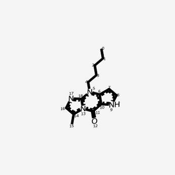 CCCCCn1c2cc[nH]c2c(=O)n2c(C)cnc12